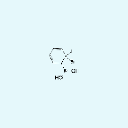 OB(O)C1C=CC=CC1(F)Br